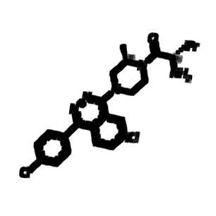 CC(C)[C@H](N)C(=O)N1CCN(c2nnc(-c3ccc(Cl)cc3)c3ccccc23)C[C@H]1C.Cl